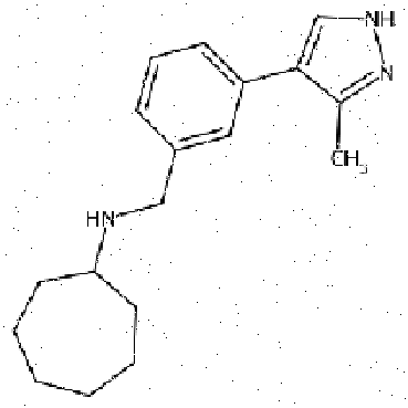 Cc1n[nH]cc1-c1cccc(CNC2CCCCCC2)c1